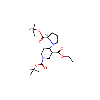 CCOC(=O)C1CN(C(=O)OC(C)(C)C)CCC1N1CCC[C@H]1C(=O)OC(C)(C)C